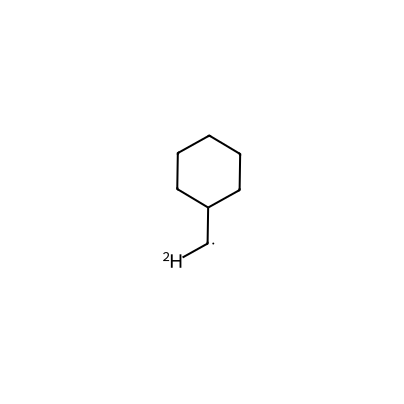 [2H][CH]C1CCCCC1